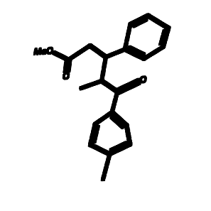 COC(=O)CC(c1ccccc1)C(C)C(=O)c1ccc(C)cc1